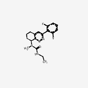 CCNC(=O)N(C)C1CCCc2cc(-c3c(F)cccc3F)nnc21